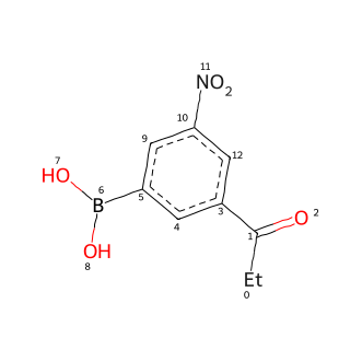 CCC(=O)c1cc(B(O)O)cc([N+](=O)[O-])c1